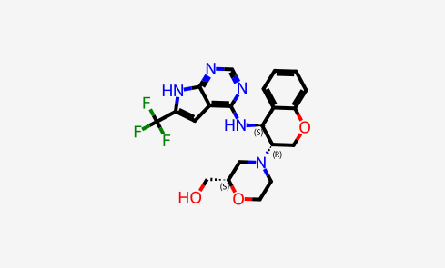 OC[C@@H]1CN([C@H]2COc3ccccc3[C@@H]2Nc2ncnc3[nH]c(C(F)(F)F)cc23)CCO1